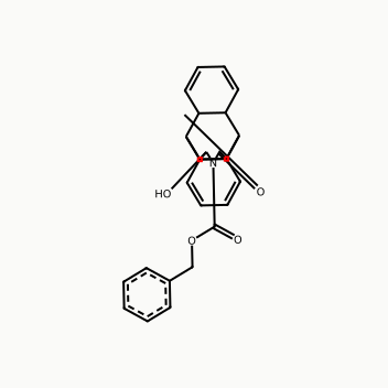 O=C(OCc1ccccc1)N1C(=O)C2C3C4C=CC=CC4C(C4C=CC=CC43)C2C1O